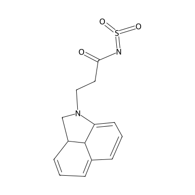 O=C(CCN1CC2C=CC=C3C=CC=C1C32)N=S(=O)=O